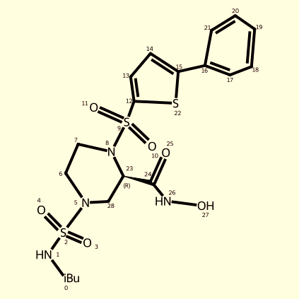 CCC(C)NS(=O)(=O)N1CCN(S(=O)(=O)c2ccc(-c3ccccc3)s2)[C@@H](C(=O)NO)C1